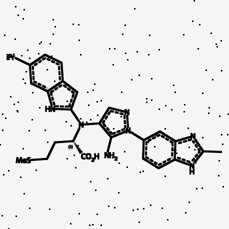 CSCC[C@@H](C(=O)O)N(c1cc2ccc(C(C)C)cc2[nH]1)c1cnn(-c2ccc3[nH]c(C)nc3c2)c1N